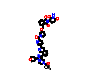 CC(=O)N1CCn2c(C3CCOCC3)nc(-c3cccc4cc(-c5ccc(C(=O)N6CCC[C@H](OCc7cccc8c7C(=O)N(C7CCC(=O)NC7=O)C8=O)C6)nc5)ncc34)c2C1